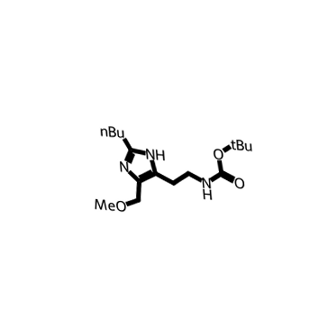 CCCCc1nc(COC)c(CCNC(=O)OC(C)(C)C)[nH]1